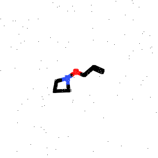 C=CCON1[CH]CC1